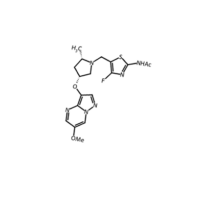 COc1cnc2c(O[C@@H]3C[C@H](C)N(Cc4sc(NC(C)=O)nc4F)C3)cnn2c1